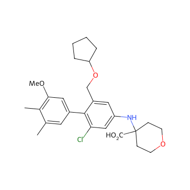 COc1cc(-c2c(Cl)cc(NC3(C(=O)O)CCOCC3)cc2COC2CCCC2)cc(C)c1C